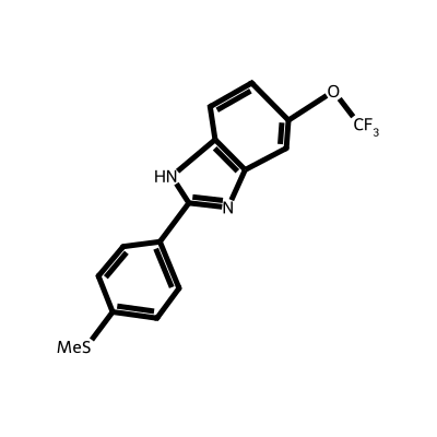 CSc1ccc(-c2nc3cc(OC(F)(F)F)ccc3[nH]2)cc1